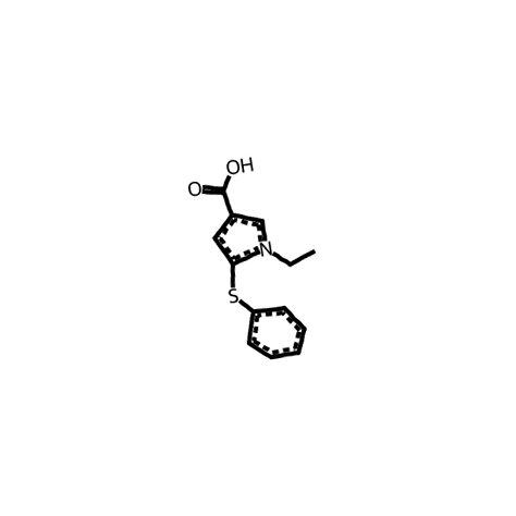 CCn1cc(C(=O)O)cc1Sc1ccccc1